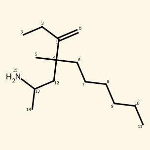 C=C(CC)C(C)(CCCCCC)CC(C)N